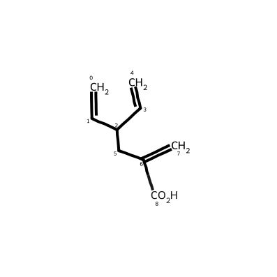 C=CC(C=C)CC(=C)C(=O)O